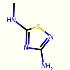 CNc1nc(N)ns1